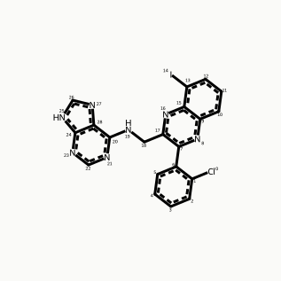 Clc1ccccc1-c1nc2cccc(I)c2nc1CNc1ncnc2[nH]cnc12